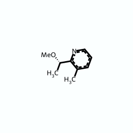 CO[C@@H](C)c1ncccc1C